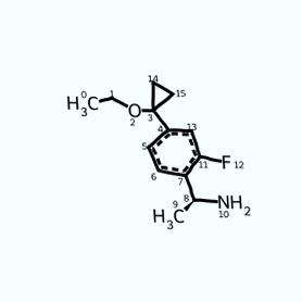 CCOC1(c2ccc([C@H](C)N)c(F)c2)CC1